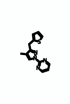 Cc1cn(-c2ncccn2)nc1Cc1cccs1